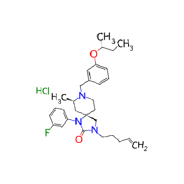 C=CCCCN1C[C@@]2(CCN(Cc3cccc(O[C@H](C)CC)c3)[C@H](C)C2)N(c2cccc(F)c2)C1=O.Cl